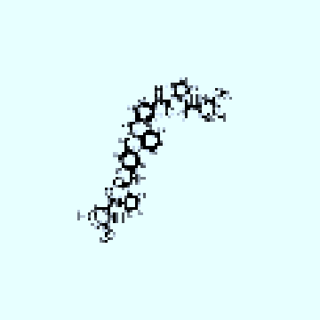 COC(=O)N[C@@H](CO)C(=O)N1CCC[C@H]1C(=O)Nc1ccc(CN(Cc2ccc(NC(=O)[C@@H]3CCCN3C(=O)[C@H](CO)NC(=O)OC)cc2)c2ccccc2)cc1